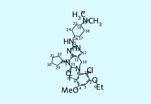 CCOc1cc(OC)c(F)c(N2Cc3cnc(NC4CCC(N(C)C)CC4)nc3N(C3CCCC3)C2=O)c1Cl